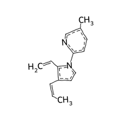 C=Cc1c(/C=C\C)ccn1-c1ccc(C)cn1